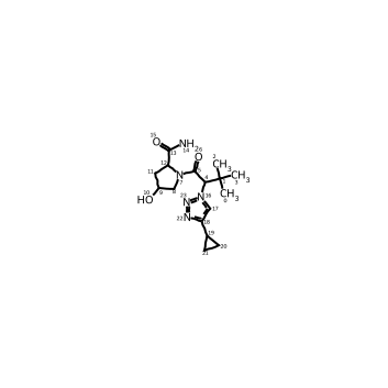 CC(C)(C)C(C(=O)N1CC(O)CC1C(N)=O)n1cc(C2CC2)nn1